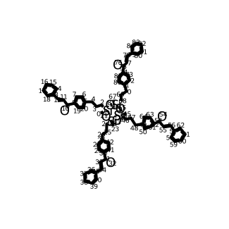 C[Si]1(CCCc2ccc(C(=O)C=Cc3ccccc3)cc2)O[Si](C)(CCCc2ccc(C(=O)C=Cc3ccccc3)cc2)O[Si](C)(CCCc2ccc(C(=O)C=Cc3ccccc3)cc2)O[Si](C)(CCCc2ccc(C(=O)C=Cc3ccccc3)cc2)O1